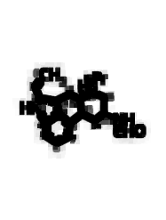 C=Cc1[nH]c2cccc3c2c1C[C@@H]1C3C[C@H](NC=O)CN1CCC